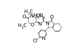 C=C1/C(=N\C(=C/C)N2C(=O)C3=C(C=CCC3)C2c2ccc(Cl)nc2)O[C@H](C)C(=O)N1C